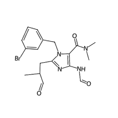 CC(C=O)Cc1nc(NC=O)c(C(=O)N(C)C)n1Cc1cccc(Br)c1